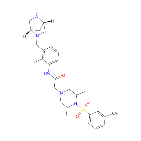 Cc1c(CN2C[C@@H]3C[C@H]2CN3)cccc1NC(=O)CN1CC(C)N(S(=O)(=O)c2cccc(C#N)c2)C(C)C1